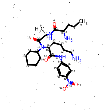 CCC[C@@H](N)C(=O)N[C@@H](C)C(=O)N(C1CCCCC1)[C@@H](CCCCN)C(=O)Nc1ccc([N+](=O)[O-])cc1